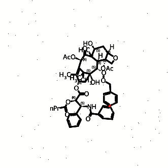 CCCC(=O)O[C@@H](C(=O)O[C@H]1C[C@@]2(O)[C@@H](OOCc3ccccc3)[C@@H]3[C@]4(OC(C)=O)CO[C@@H]4C[C@H](O)[C@@]3(C)C(=O)[C@H](OC(C)=O)C(=C1C)C2(C)C)[C@@H](NC(=O)c1ccccc1)c1ccccc1